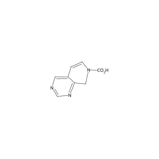 O=C(O)N1C=Cc2cncnc2C1